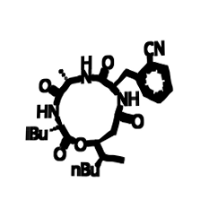 CCCC[C@H](C)[C@@H]1CC(=O)N[C@H](Cc2ccccc2C#N)C(=O)N[C@@H](C)C(=O)N[C@H]([C@@H](C)CC)C(=O)O1